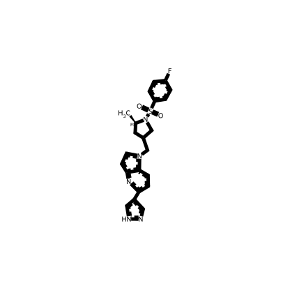 C[C@@H]1CC(Cn2ccc3nc(-c4cn[nH]c4)ccc32)CN1S(=O)(=O)c1ccc(F)cc1